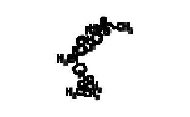 CCCS(=O)(=O)Nc1ccc(F)c(-n2ccc3nc(N(C)C4CCN(C(=O)OC(C)(C)C)CC4)ccc32)c1F